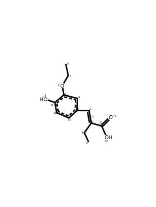 CCOc1cc(/C=C(\CC)C(=O)O)ccc1O